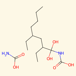 CCCCC(CC)CC(CC)C(O)(O)NC(=O)O.NC(=O)O